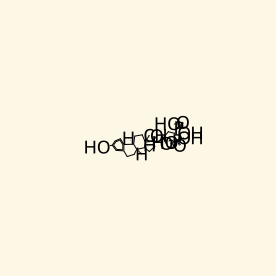 C[C@]12CC[C@@H]3c4ccc(O)cc4CC[C@H]3[C@@H]1CC[C@@H]2OC(=O)CC(P(=O)(O)O)P(=O)(O)O